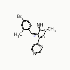 Cc1cc(Br)ccc1/C=C1\C(=N)N(C)N=C1c1ccncn1